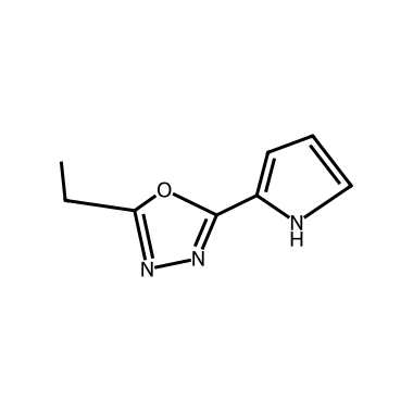 CCc1nnc(-c2ccc[nH]2)o1